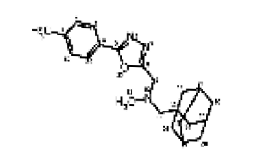 Cc1ccc(-c2nnc(CN(C)CC34CC5CC(CC(C5)C3)C4)o2)cc1